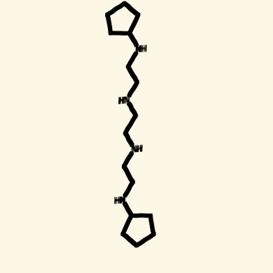 C1CCC(NCCNCCNCCNC2CCCC2)C1